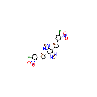 O=[N+]([O-])c1cc(-c2ccc(-c3c4c(c(-c5ccc(-c6ccc(F)c([N+](=O)[O-])c6)s5)c5nsnc35)N=S=N4)s2)ccc1F